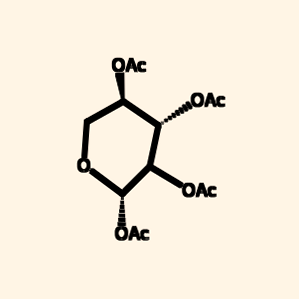 CC(=O)OC1[C@H](OC(C)=O)OC[C@@H](OC(C)=O)[C@@H]1OC(C)=O